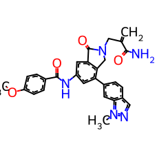 C=C(CN1Cc2c(cc(NC(=O)c3ccc(OC)cc3)cc2-c2ccc3cnn(C)c3c2)C1=O)C(N)=O